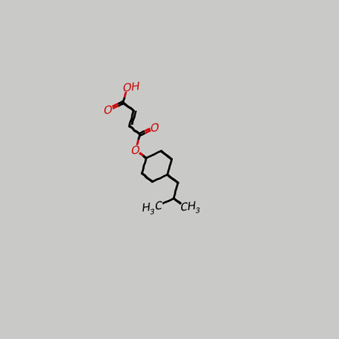 CC(C)CC1CCC(OC(=O)/C=C/C(=O)O)CC1